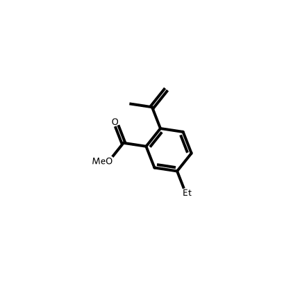 C=C(C)c1ccc(CC)cc1C(=O)OC